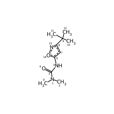 CN(C)C(=O)Nc1cc(C(C)(C)C)no1